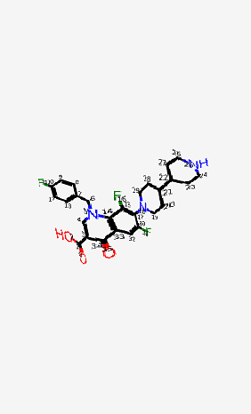 O=C(O)c1cn(Cc2ccc(F)cc2)c2c(F)c(N3CCC(C4CCNCC4)CC3)c(F)cc2c1=O